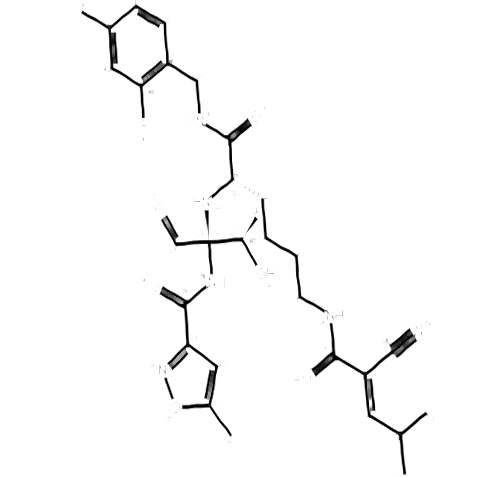 Cc1ccc(CNC(=O)[C@H](CCCCNC(=O)C(C#N)=CC(C)C)N[C@](C=O)(NC(=O)c2cc(C)on2)[C@@H](C)O)c(F)c1